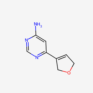 Nc1cc(C2=CCOC2)ncn1